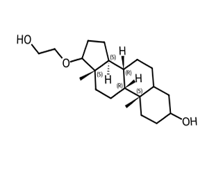 C[C@]12CCC(O)CC1CC[C@@H]1[C@H]2CC[C@]2(C)C(OCCO)CC[C@@H]12